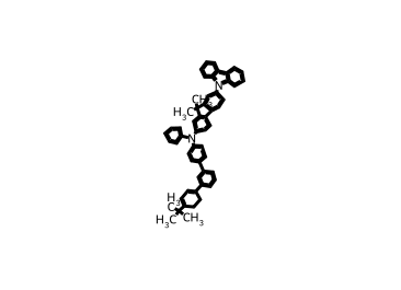 CC(C)(C)C1=CC=C(c2cccc(-c3ccc(N(c4ccccc4)c4ccc5c(c4)C(C)(C)c4cc(-n6c7ccccc7c7ccccc76)ccc4-5)cc3)c2)CC1